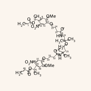 C=CC(=O)OC(C)c1cc(OC)c(OCCCC(=O)NCC(C)(C)OCCC(C)(C)NC(=O)CCCOc2cc([N+](=O)[O-])c(C(C)OC(=O)C=C)cc2OC)cc1[N+](=O)[O-]